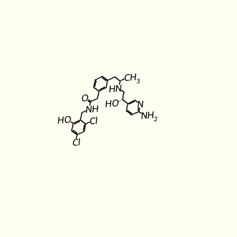 C[C@H](Cc1cccc(CC(=O)NCc2c(O)cc(Cl)cc2Cl)c1)NC[C@@H](O)c1ccc(N)nc1